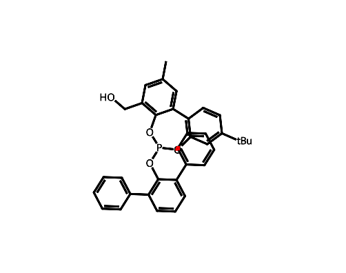 Cc1cc(CO)c2op(Oc3c(-c4ccccc4)cccc3-c3ccccc3)oc3cc(C(C)(C)C)ccc3c2c1